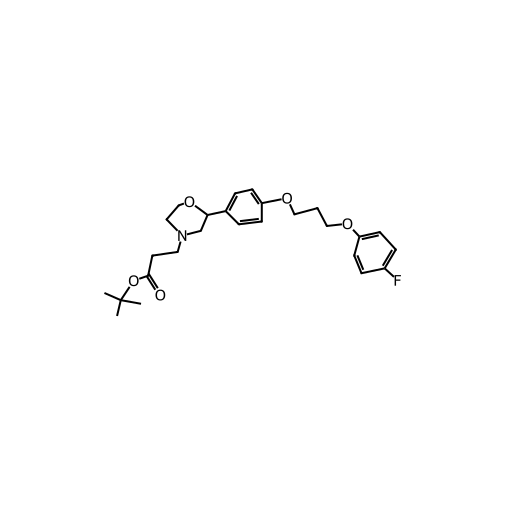 CC(C)(C)OC(=O)CCN1CCOC(c2ccc(OCCCOc3ccc(F)cc3)cc2)C1